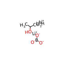 CC(O)C(=O)O.[Li+].[Li+].[Li+].[O-]B([O-])[O-]